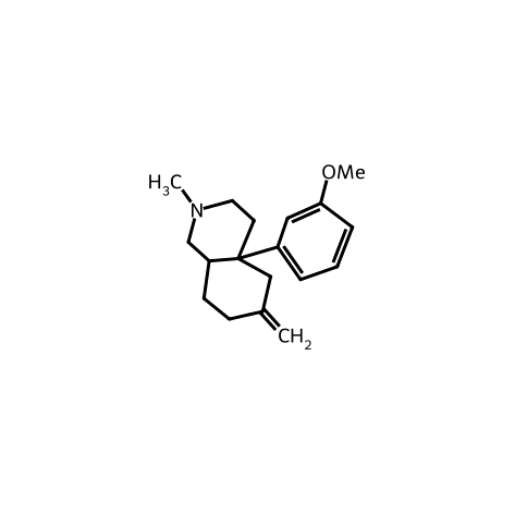 C=C1CCC2CN(C)CCC2(c2cccc(OC)c2)C1